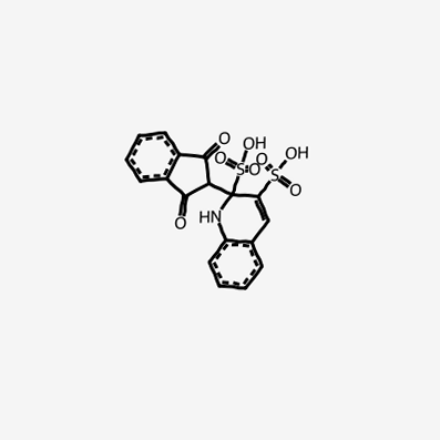 O=C1c2ccccc2C(=O)C1C1(S(=O)(=O)O)Nc2ccccc2C=C1S(=O)(=O)O